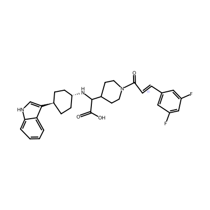 O=C(O)C(N[C@H]1CC[C@H](c2c[nH]c3ccccc32)CC1)C1CCN(C(=O)/C=C/c2cc(F)cc(F)c2)CC1